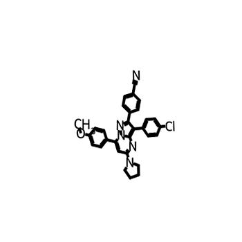 COc1ccc(-c2cc(N3CCCC3)nc3c(-c4ccc(Cl)cc4)c(-c4ccc(C#N)cc4)nn23)cc1